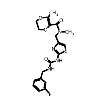 CC1=C(C(=O)N(C)Cc2csc(NC(=O)NCc3cccc(F)c3)n2)OCCO1